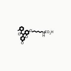 Cc1ccccc1C(=O)c1c2ccc(=O)cc-2oc2cc(OCCCCCCNC(=O)O)ccc12